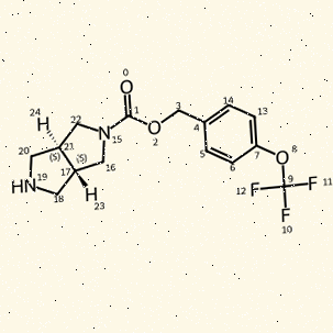 O=C(OCc1ccc(OC(F)(F)F)cc1)N1C[C@@H]2CNC[C@H]2C1